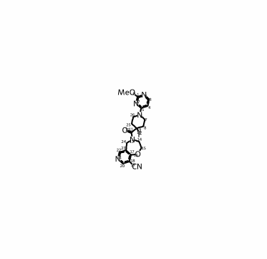 COc1nccc(N2CCC(F)(C(=O)N3CCOc4c(C#N)cncc4C3)CC2)n1